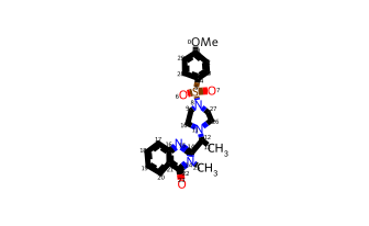 COc1ccc(S(=O)(=O)N2CCN(C(C)c3nc4ccccc4c(=O)n3C)CC2)cc1